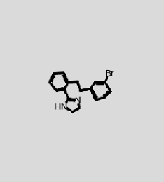 Brc1cccc(CCc2ccccc2C2=NCCN2)c1